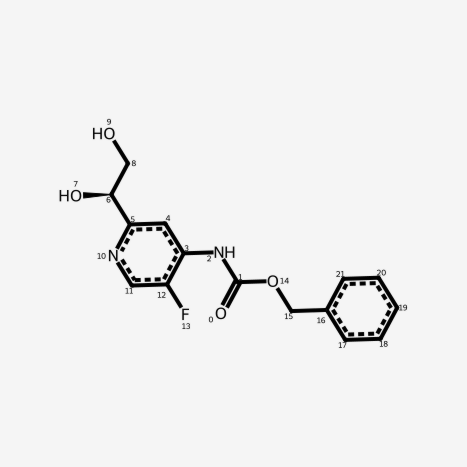 O=C(Nc1cc([C@@H](O)CO)ncc1F)OCc1ccccc1